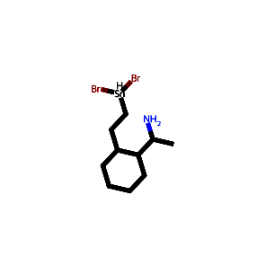 CC(N)C1CCCCC1C[CH2][SnH]([Br])[Br]